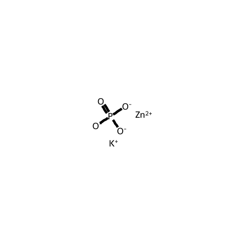 O=P([O-])([O-])[O-].[K+].[Zn+2]